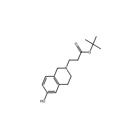 CC(C)(C)OC(=O)CCN1CCc2cc(O)ccc2C1